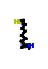 CN/C(C)=C\CCCC/C=C\S